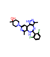 Cc1n[nH]c2c1N=C(c1c(F)cccc1F)Nc1c-2cc(N2CCC(C)(O)CC2)nc1C